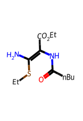 CCCCC(=O)NC(C(=O)OCC)=C(N)SCC